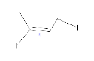 C/C(I)=C\CI